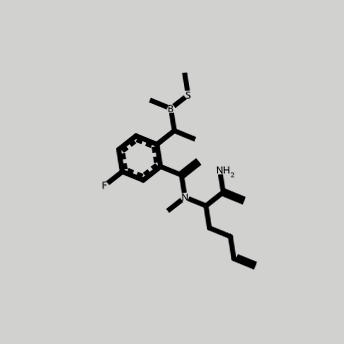 C=CCCC(C(=C)N)N(C)C(=C)c1cc(F)ccc1C(C)B(C)SC